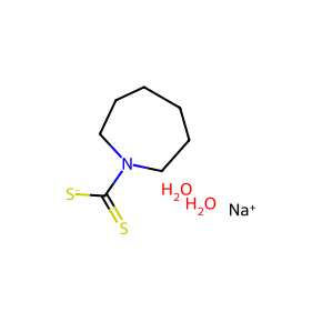 O.O.S=C([S-])N1CCCCCC1.[Na+]